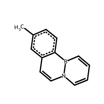 Cc1ccc2c(c1)C=CN1C=CC=CB21